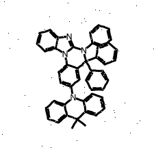 CC1(C)c2ccccc2N(c2ccc3c(c2)C(c2ccccc2)(c2ccccc2)N(c2ccccc2)c2nc4ccccc4n2-3)c2ccccc21